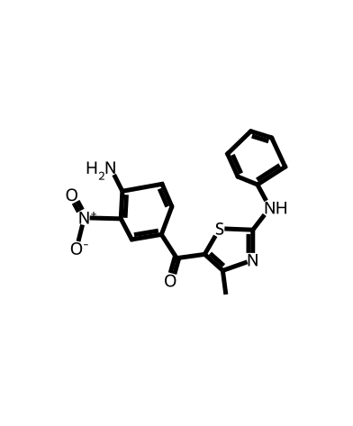 Cc1nc(Nc2ccccc2)sc1C(=O)c1ccc(N)c([N+](=O)[O-])c1